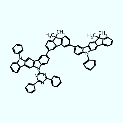 CC1(C)c2ccc(-c3ccc4c(c3)c3cc5c(cc3n4-c3ccccc3)-c3ccccc3C5(C)C)cc2-c2cc(-c3ccc4c(c3)c3cc5c(cc3n4-c3nc(-c4ccccc4)nc(-c4ccccc4)n3)c3ccccc3n5-c3ccccc3)ccc21